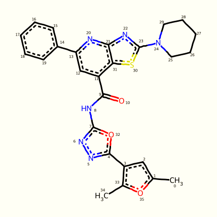 Cc1cc(-c2nnc(NC(=O)c3cc(-c4ccccc4)nc4nc(N5CCCCC5)sc34)o2)c(C)o1